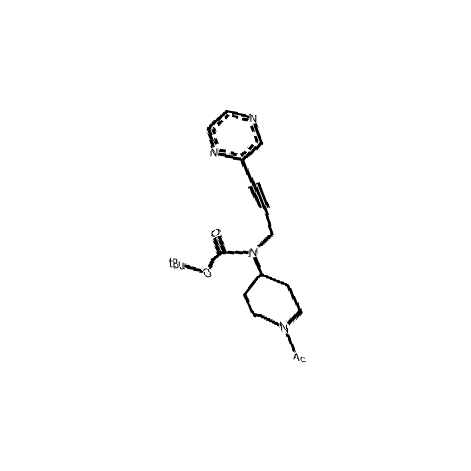 CC(=O)N1CCC(N(CC#Cc2cnccn2)C(=O)OC(C)(C)C)CC1